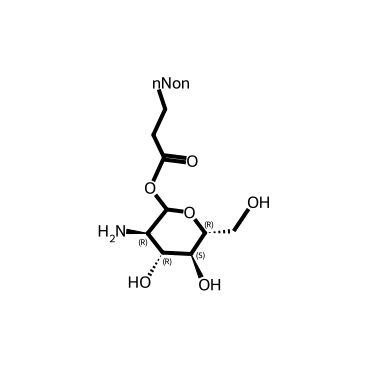 CCCCCCCCCCCC(=O)OC1O[C@H](CO)[C@@H](O)[C@H](O)[C@H]1N